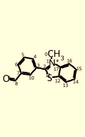 C[n+]1c(-c2cccc(C=O)c2)sc2ccccc21